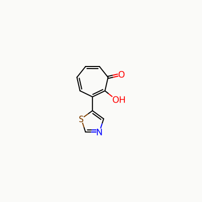 O=c1ccccc(-c2cncs2)c1O